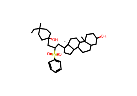 CCC1(C)CCC(O)(CC(CC2CCC3C4CCC5CC(O)CCC5(C)C4CC[C@]23C)S(=O)(=O)c2ccccc2)CC1